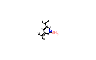 B.CC(C)c1cncc(C(C)C)c1